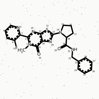 Cn1c(-c2ncccc2F)nc2sc(N3CCCC3C(=O)NCc3ccccc3)nc2c1=O